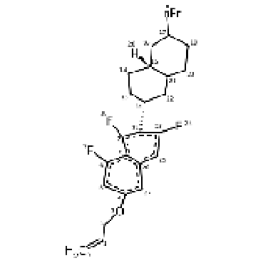 C=CCOc1cc(F)c2c(F)c([C@@H]3CC[C@@H]4CC(CCC)CCC4C3)c(F)cc2c1